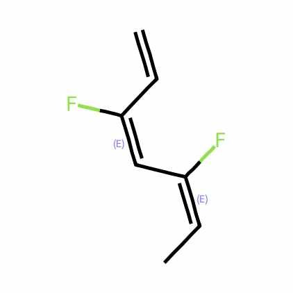 C=C/C(F)=C\C(F)=C/C